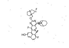 C#Cc1c(F)ccc2cc(O)cc(-c3ncc4c(N5CC6CCCC(C5)C6O)nc(OC[C@@]56CCCN5C[C@H](F)C6)nc4c3F)c12